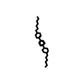 CCCCCCCC1CC=C(c2ccc(C3CCC(CCCCCC)CC3)cc2)CC1